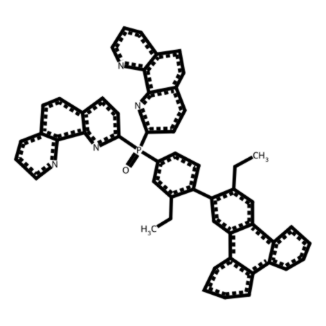 CCc1cc(P(=O)(c2ccc3ccc4cccnc4c3n2)c2ccc3ccc4cccnc4c3n2)ccc1-c1cc2c3ccccc3c3ccccc3c2cc1CC